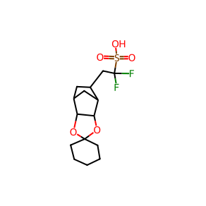 O=S(=O)(O)C(F)(F)CC1CC2CC1C1OC3(CCCCC3)OC21